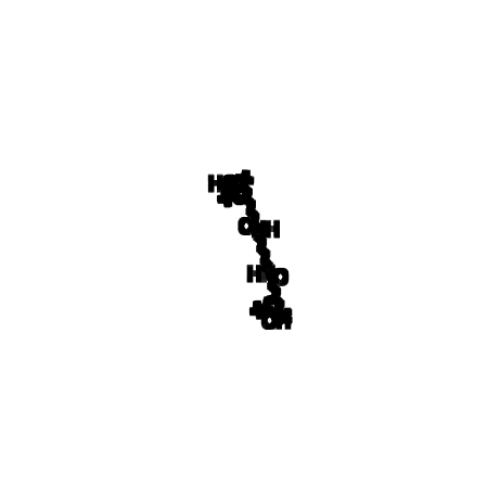 CC(C)(C)c1cc(CCCC(=O)NCCCCCCNC(=O)CCc2cc(C(C)(C)C)c(O)c(C(C)(C)C)c2)cc(C(C)(C)C)c1O